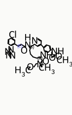 COCCN(C)C(=O)[C@H]1CCCC[C@H](NC(=O)/C=C/c2cc(Cl)ccc2-n2cnnn2)c2cc(ccn2)-c2ccc(NC(=O)OC)cc2N1